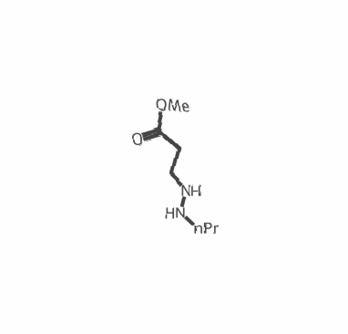 CCCNNCCC(=O)OC